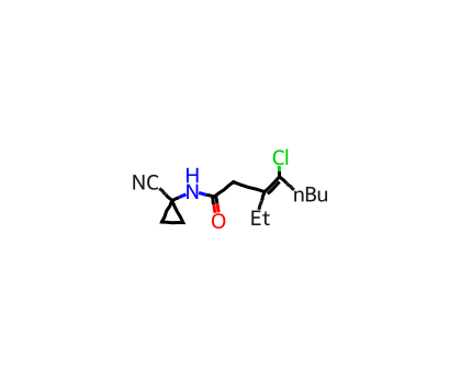 CCCC/C(Cl)=C(\CC)CC(=O)NC1(C#N)CC1